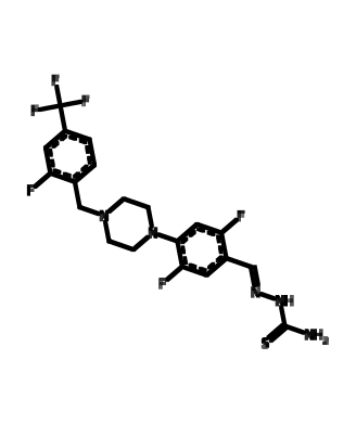 NC(=S)N/N=C/c1cc(F)c(N2CCN(Cc3ccc(C(F)(F)F)cc3F)CC2)cc1F